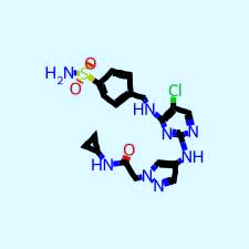 NS(=O)(=O)c1ccc(CNc2nc(Nc3cnn(CC(=O)NC4CC4)c3)ncc2Cl)cc1